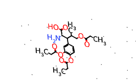 CCC(=O)OCC(C)C(c1ccc(OC(=O)CC)c(OC(=O)CC)c1)[C@H](N)C(=O)O